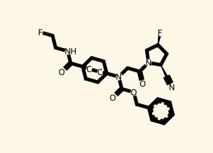 N#C[C@@H]1C[C@H](F)CN1C(=O)CN(C(=O)OCc1ccccc1)C12CCC(C(=O)NCCF)(CC1)CC2